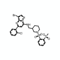 CS(=O)(=O)c1ccccc1S(=O)(=O)N1CCCC(CNc2cc(-c3ccccc3Cl)nc3c(Br)cnn23)C1